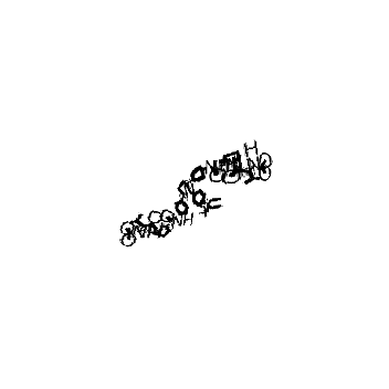 CC[Si](CC)(CC)c1ccc(N2[C@@H](c3ccc(NC(=O)[C@@H]4CCCN4C(=O)[C@@H](NC(=O)OC)C(C)C)cc3)CC[C@@H]2c2ccc(NC(=O)[C@@H]3CCCN3C(=O)[C@@H](NC(=O)OC)C(C)C)cc2)cc1